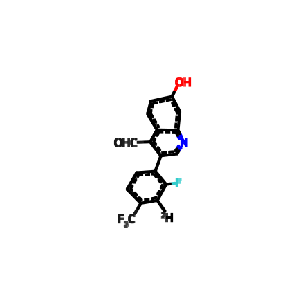 [2H]c1c(C(F)(F)F)ccc(-c2cnc3cc(O)ccc3c2C=O)c1F